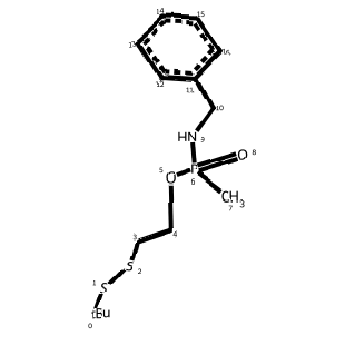 CC(C)(C)SSCCOP(C)(=O)NCc1ccccc1